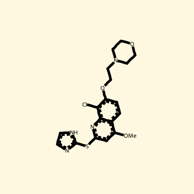 COc1cc(Sc2ncc[nH]2)nc2c(Cl)c(OCCN3CCOCC3)ccc12